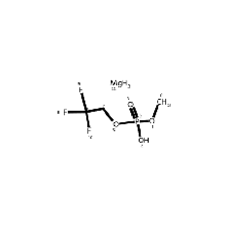 COP(=O)(O)OCC(F)(F)F.[MgH2]